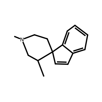 CC1CN(C)CCC12C=Cc1ccccc12